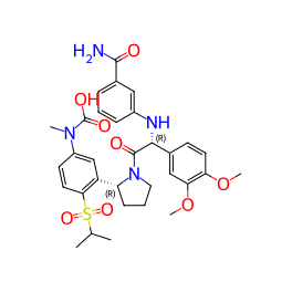 COc1ccc([C@@H](Nc2cccc(C(N)=O)c2)C(=O)N2CCC[C@@H]2c2cc(N(C)C(=O)O)ccc2S(=O)(=O)C(C)C)cc1OC